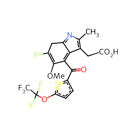 COC1=C(F)CC2=NC(C)=C(CC(=O)O)C2=C1C(=O)c1ccc(OC(F)(F)C(F)(F)F)s1